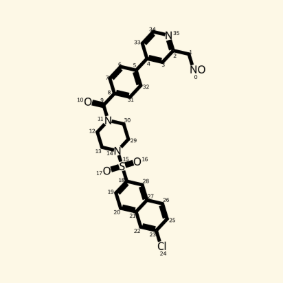 O=NCc1cc(-c2ccc(C(=O)N3CCN(S(=O)(=O)c4ccc5cc(Cl)ccc5c4)CC3)cc2)ccn1